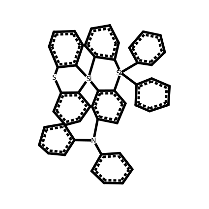 c1ccc(N(c2ccccc2)c2ccc3c(c2)[Si]2(c4ccccc4Sc4ccccc42)c2ccccc2[Si]3(c2ccccc2)c2ccccc2)cc1